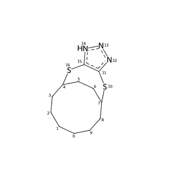 C1CCCC2CCC(CC1)Sc1nn[nH]c1S2